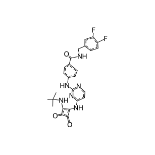 CC(C)(C)Nc1c(Nc2ccnc(Nc3ccc(C(=O)NCc4ccc(F)c(F)c4)cc3)n2)c(=O)c1=O